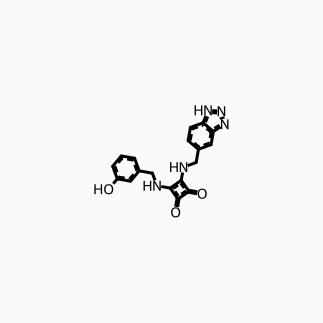 O=c1c(NCc2cccc(O)c2)c(NCc2ccc3[nH]nnc3c2)c1=O